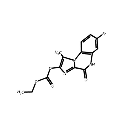 CCOC(=O)Oc1nc2c(=O)[nH]c3cc(Br)ccc3n2c1C